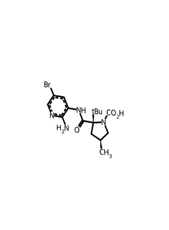 C[C@@H]1CN(C(=O)O)[C@](C(=O)Nc2cc(Br)cnc2N)(C(C)(C)C)C1